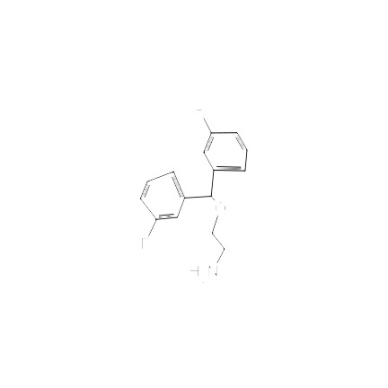 NCCOC(c1cccc(F)c1)c1cccc(F)c1